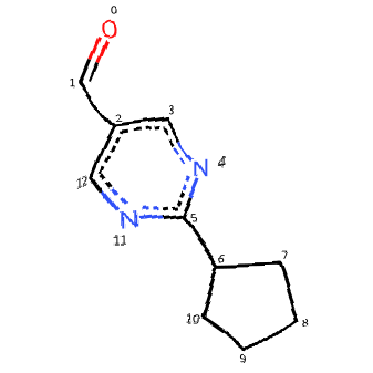 O=Cc1cnc(C2CCCC2)nc1